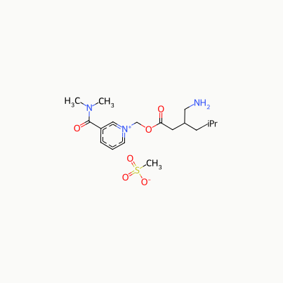 CC(C)CC(CN)CC(=O)OC[n+]1cccc(C(=O)N(C)C)c1.CS(=O)(=O)[O-]